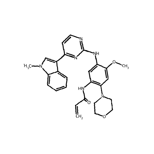 C=CC(=O)Nc1cc(Nc2nccc(-c3cn(C)c4ccccc34)n2)c(OC)cc1N1CCOCC1